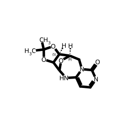 CC1(C)OC2C3Nc4ccnc(=O)n4C[C@@H](O3)[C@@H]2O1